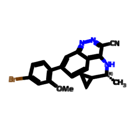 COc1cc(Br)ccc1-c1ccc2c(N[C@H](C)C3CC3)c(C#N)nnc2c1